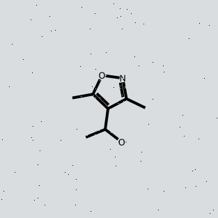 Cc1noc(C)c1C(C)[O]